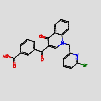 O=C(O)c1cccc(C(=O)c2cn(Cc3cccc(Br)n3)c3ccccc3c2=O)c1